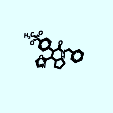 CS(=O)(=O)c1ccc(C(C(=O)NCc2ccccc2)C(c2ncco2)C2CCCC2)cc1